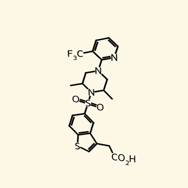 CC1CN(c2ncccc2C(F)(F)F)CC(C)N1S(=O)(=O)c1ccc2scc(CC(=O)O)c2c1